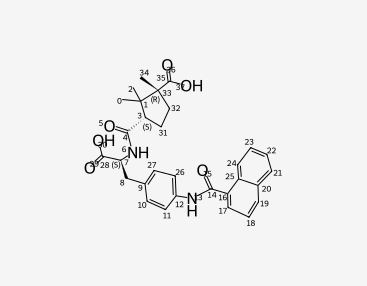 CC1(C)[C@@H](C(=O)N[C@@H](Cc2ccc(NC(=O)c3cccc4ccccc34)cc2)C(=O)O)CC[C@@]1(C)C(=O)O